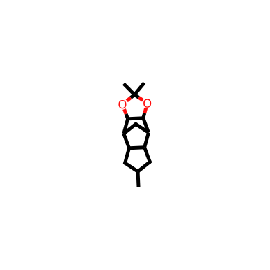 CC1CC2C(C1)C1CC2C2OC(C)(C)OC12